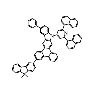 CC1(C)c2ccccc2-c2cc(-c3ccc4c(c3)c3ccccc3c3cc5c(cc43)c3cc(-c4ccccc4)ccc3n5-c3cc(-c4cccc5ccccc45)nc(-c4cccc5ccccc45)c3)ccc21